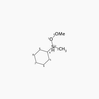 COO[SiH](C)C1CCCCC1